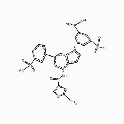 CS(=O)(=O)c1cccc(B(O)O)c1.Cc1nc(C(=O)Nc2cc(-c3cccc(S(C)(=O)=O)c3)cc3[nH]ncc23)cs1